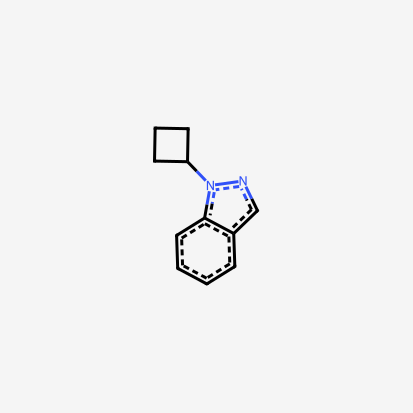 c1ccc2c(c1)cnn2C1CCC1